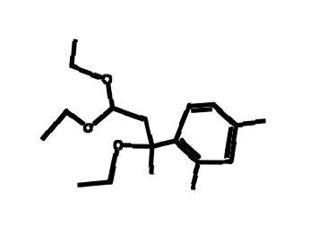 CCOC(CC(C)(OCC)c1ccc(C)cc1C)OCC